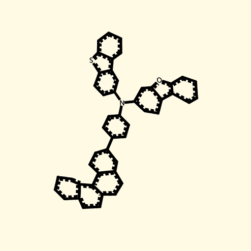 c1ccc2c(c1)ccc1ccc3cc(-c4ccc(N(c5ccc6c(c5)oc5ccccc56)c5ccc6sc7ccccc7c6c5)cc4)ccc3c12